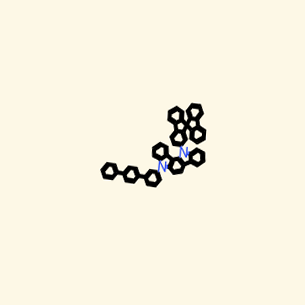 c1ccc(-c2ccc(-c3cccc(-n4c5ccccc5c5c4ccc4c6ccccc6n(-c6ccc7c(c6)C6(c8ccccc8-c8ccccc86)c6ccccc6-7)c45)c3)cc2)cc1